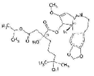 COC1=CC23CCCN2CCc2cc4c(cc2[C@@H]3C1OC(=O)[C@@](O)(CCCC(C)(C)O)CC(=O)OC(C)C)OCO4